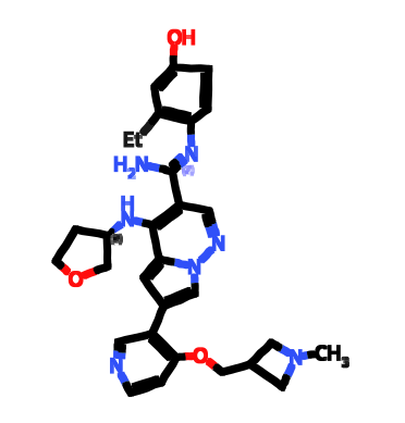 CCc1cc(O)ccc1/N=C(\N)c1cnn2cc(-c3cnccc3OCC3CN(C)C3)cc2c1N[C@@H]1CCOC1